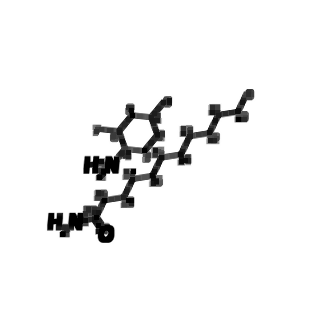 CC1CCC(N)C(C)C1.CCCCCCCCCCCC(N)=O